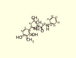 Cc1c(O)ccc(/C(CC(C)C)=N/NC(=O)CNc2ccccc2)c1O